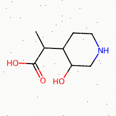 CC(C(=O)O)C1CCNCC1O